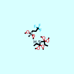 CCC(OC)(OC)[SiH2]C(CC)(OC)OC.CO[Si](C)(CCC(F)(F)F)OC